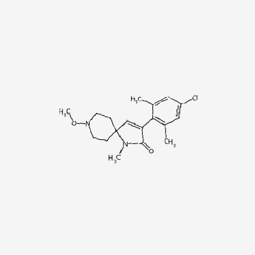 CON1CCC2([C]=C(c3c(C)cc(Cl)cc3C)C(=O)N2C)CC1